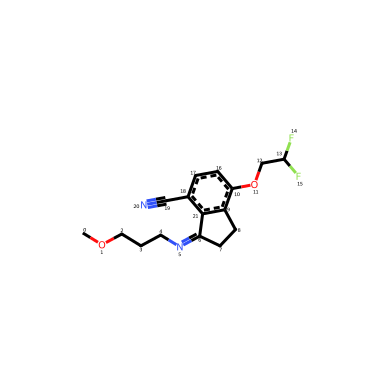 COCCC/N=C1/CCc2c(OCC(F)F)ccc(C#N)c21